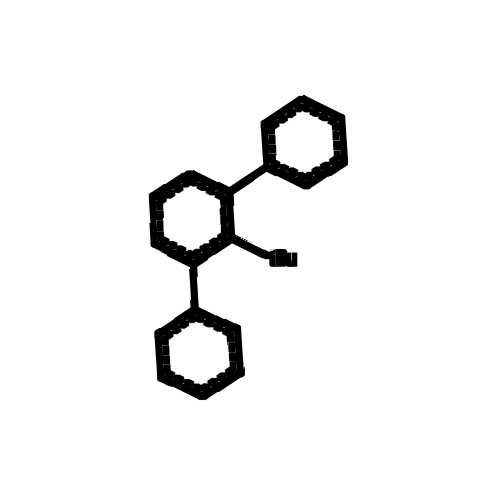 CC(C)(C)c1c(-c2ccccc2)cccc1-c1ccccc1